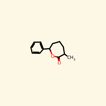 CC1CCCC(c2ccccc2)OC1=O